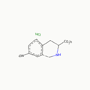 Cl.O=Nc1ccc2c(c1)CNC(C(=O)O)C2